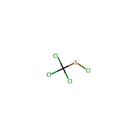 ClSC(Cl)(Cl)Cl